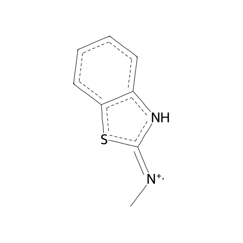 C[N+]=c1[nH]c2ccccc2s1